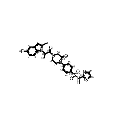 Cc1cc2cc(F)ccc2n1C(C)C(=O)N1CCN(c2ccc(S(=O)(=O)Nc3nccs3)cc2)C(=O)C1